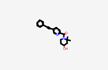 CC1(C)C[C@@H](O)CCN1C(=O)c1ccc(C#Cc2ccccc2)cn1